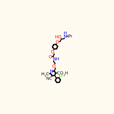 Cc1nc(COCCNC(=O)COc2ccc(OC[C@@H](O)CNC(C)C)cc2)c(C(=O)O)c(-c2ccccc2Cl)c1C#N